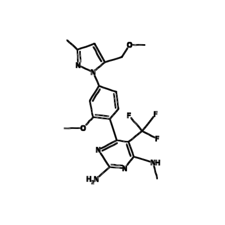 CNc1nc(N)nc(-c2ccc(-n3nc(C)cc3COC)cc2OC)c1C(F)(F)F